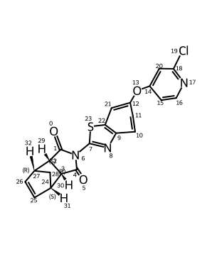 O=C1[C@@H]2[C@H](C(=O)N1c1nc3ccc(Oc4ccnc(Cl)c4)cc3s1)[C@@H]1C=C[C@H]2C1